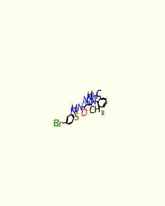 C/C(Nc1ccccc1C)=C(/N=N)C(=O)Nc1nc2cc(Br)ccc2s1